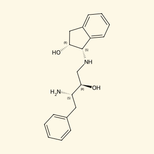 N[C@@H](Cc1ccccc1)[C@H](O)CN[C@H]1c2ccccc2C[C@H]1O